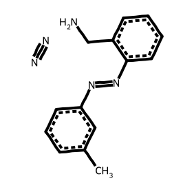 Cc1cccc(N=Nc2ccccc2CN)c1.N#N